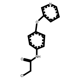 O=C(CCl)Nc1ccc(Oc2cccnc2)cc1